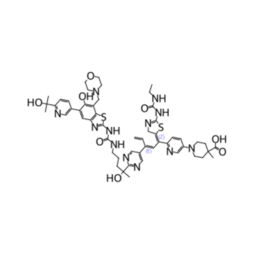 C=C/C(=C\C(=C1/CN=C(NC(=O)NCC)S1)c1ccc(N2CCC(C)(C(=O)O)CC2)cn1)c1cnc(C(C)(O)CCCNC(=O)Nc2nc3cc(-c4ccc(C(C)(C)O)nc4)c(O)c(CN4CCOCC4)c3s2)nc1